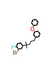 CC(C)(CCCc1cccc(Oc2ccccc2)c1)c1ccc(F)c(Br)c1